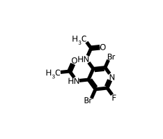 CC(=O)Nc1c(Br)nc(F)c(Br)c1NC(C)=O